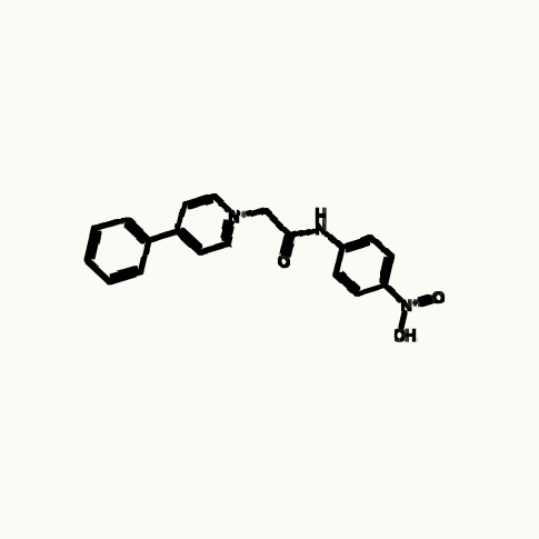 O=C(C[n+]1ccc(-c2ccccc2)cc1)Nc1ccc([N+](=O)O)cc1